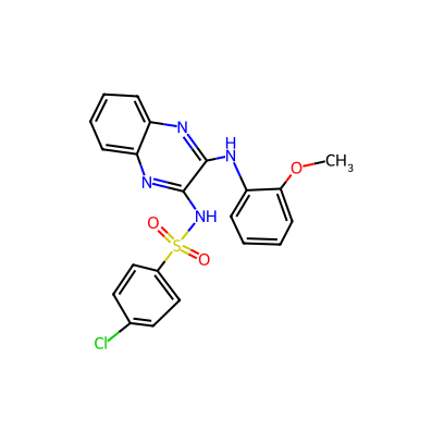 COc1ccccc1Nc1nc2ccccc2nc1NS(=O)(=O)c1ccc(Cl)cc1